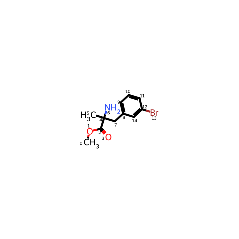 COC(=O)C(C)(N)Cc1cccc(Br)c1